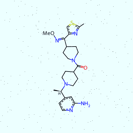 CON=C(c1csc(C)n1)C1CCN(C(=O)C2CCN([C@H](C)c3ccnc(N)c3)CC2)CC1